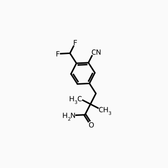 CC(C)(Cc1ccc(C(F)F)c(C#N)c1)C(N)=O